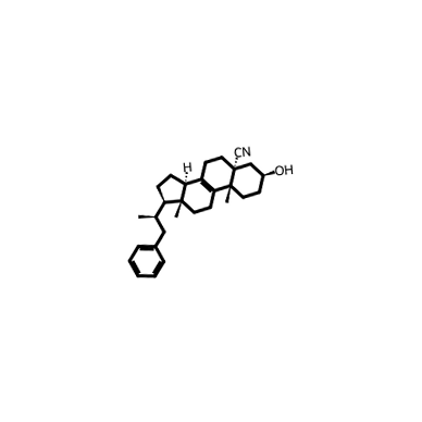 C[C@H](Cc1ccccc1)[C@H]1CC[C@H]2C3=C(CC[C@]12C)[C@@]1(C)CC[C@H](O)C[C@]1(C#N)CC3